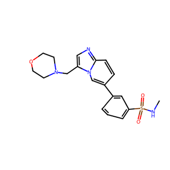 CNS(=O)(=O)c1cccc(-c2ccc3ncc(CN4CCOCC4)n3c2)c1